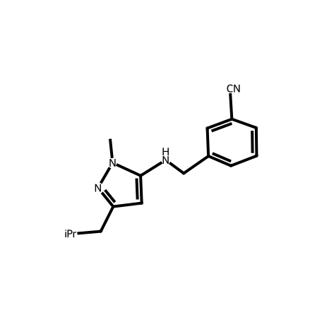 CC(C)Cc1cc(NCc2cccc(C#N)c2)n(C)n1